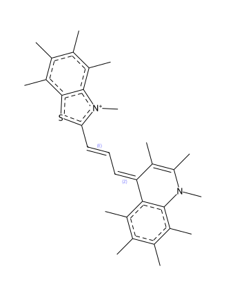 CC1=C(C)N(C)c2c(C)c(C)c(C)c(C)c2/C1=C/C=C/c1sc2c(C)c(C)c(C)c(C)c2[n+]1C